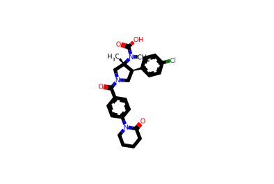 CN(C(=O)O)[C@@]1(C)CN(C(=O)c2ccc(N3CCCCC3=O)cc2)C[C@@H]1c1ccc(Cl)cc1